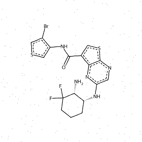 N[C@@H]1[C@H](Nc2cnc3scc(C(=O)Nc4cscc4Br)c3n2)CCCC1(F)F